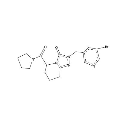 O=C(C1CCCc2nn(Cc3cncc(Br)c3)c(=O)n21)N1CCCC1